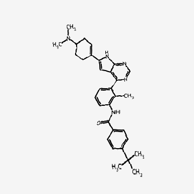 Cc1c(NC(=O)c2ccc(C(C)(C)C)cc2)cccc1-c1ncnc2[nH]c(C3=CCC(N(C)C)CC3)cc12